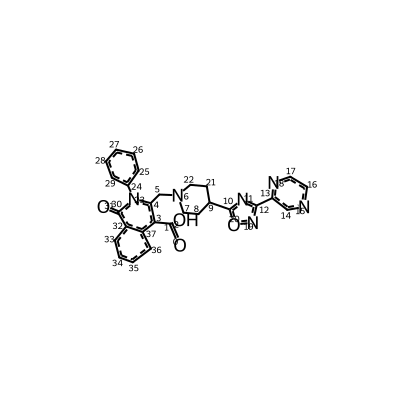 O=C(O)c1c(CN2CCC(c3nc(-c4cnccn4)no3)CC2)n(-c2ccccc2)c(=O)c2ccccc12